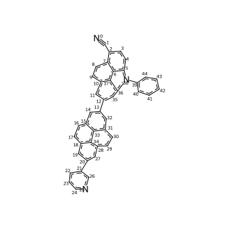 N#Cc1ccc2c3c1ccc1cc(-c4cc5ccc6cc(-c7cccnc7)cc7ccc(c4)c5c67)cc(c13)n2-c1ccccc1